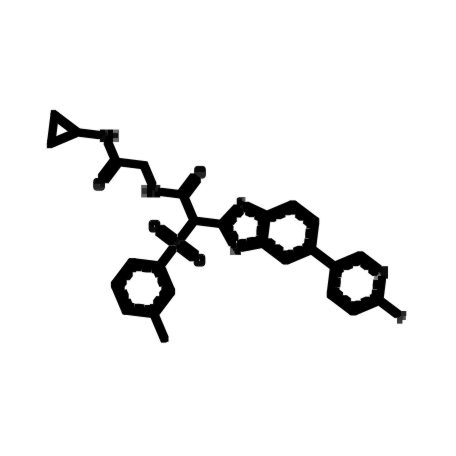 Cc1cccc(S(=O)(=O)C(C(=O)NCC(=O)NC2CC2)c2nc3cc(-c4ccc(F)nc4)ccc3s2)c1